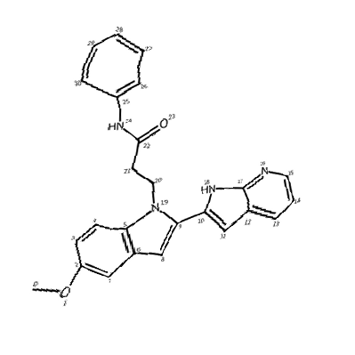 COc1ccc2c(c1)cc(-c1cc3cccnc3[nH]1)n2CCC(=O)Nc1ccccc1